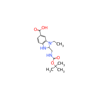 CCN1c2cc(C(=O)O)ccc2NC1CNC(=O)OC(C)(C)C